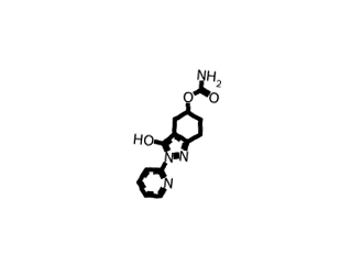 NC(=O)OC1CCc2nn(-c3ccccn3)c(O)c2C1